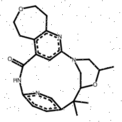 CC1CN2CC(O1)C(C)(C)c1ccc(nc1)NC(=O)c1cc2nc2c1CCOCC2